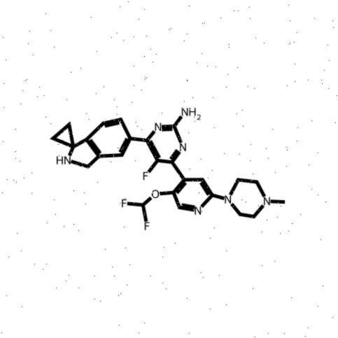 CN1CCN(c2cc(-c3nc(N)nc(-c4ccc5c(c4)CNC54CC4)c3F)c(OC(F)F)cn2)CC1